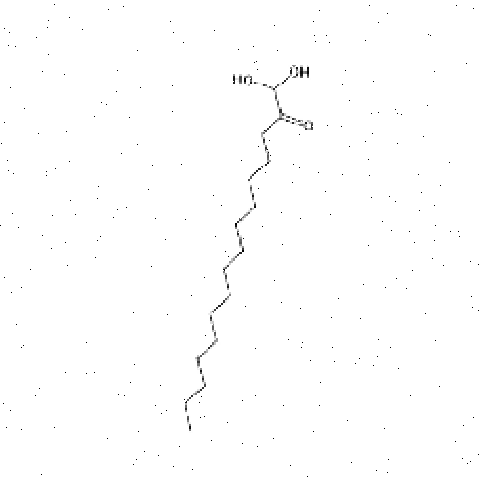 CCCCCCCCCCCCCCC(=O)C(O)O